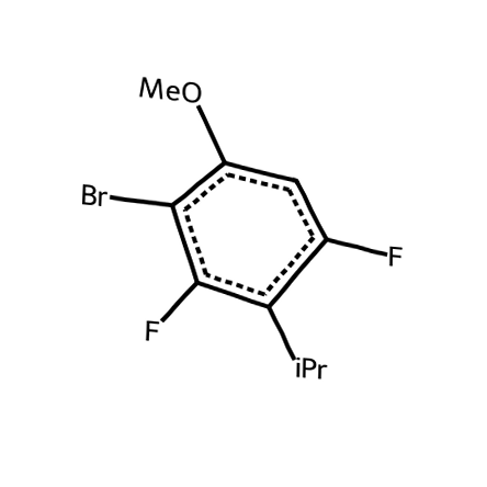 COc1cc(F)c(C(C)C)c(F)c1Br